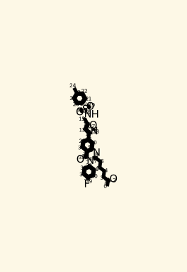 CC(=O)CCCCc1nc2cc(-c3cc(CNS(=O)(=O)c4ccc(C)cc4)on3)ccc2c(=O)n1-c1ccc(F)cc1